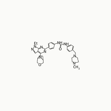 CCn1ncc2c(N3C4CCC3COC4)nc(-c3ccc(NC(=O)Nc4ccc(CN5CCN(C)CC5)cc4)cc3)nc21